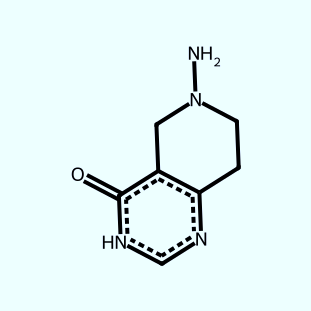 NN1CCc2nc[nH]c(=O)c2C1